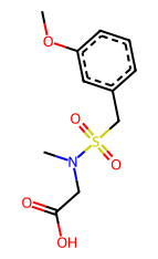 COc1cccc(CS(=O)(=O)N(C)CC(=O)O)c1